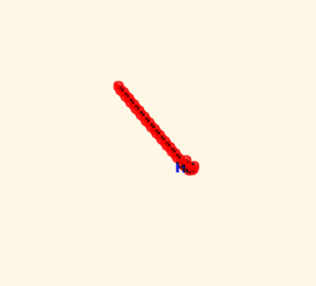 COCCOCCOCCOCCOCCOCCOCCOCCOCCOCCOCCOCCOCCOCCOCCOCCOCCOCCOCCOCCOCCOCCOCCOCCOCc1cc(OC)c(-c2ccc(C[C@H](NC(=O)OC(C)(C)C)C(=O)OC)cc2)c(OC)c1